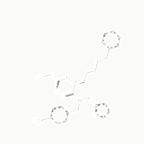 CC(C)(C)OC(=O)N[C@@H](CCC[CH]Cc1ccccc1)C(=O)N(Cc1ccc([N+](=O)[O-])cc1)Cc1cccs1